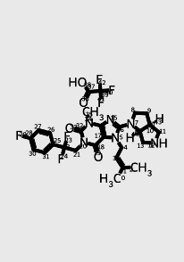 CC(C)=CCn1c(N2CC[C@H]3CNC[C@H]32)nc2c1c(=O)n(CC(F)(F)c1ccc(F)cc1)c(=O)n2C.O=C(O)C(F)(F)F